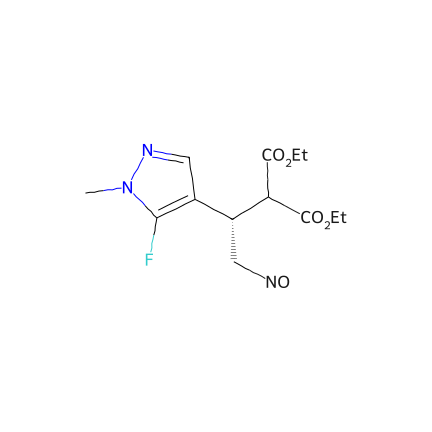 CCOC(=O)C(C(=O)OCC)[C@H](CN=O)c1cnn(C)c1F